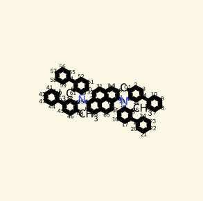 Cc1ccc(-c2ccccc2)cc1N(c1cccc(-c2ccccc2)c1C)c1ccc2ccc3c(N(c4cc(-c5ccccc5)ccc4C)c4cccc(-c5ccccc5)c4C)ccc4ccc1c2c43